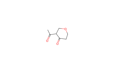 CC(=O)C1COCCC1=O